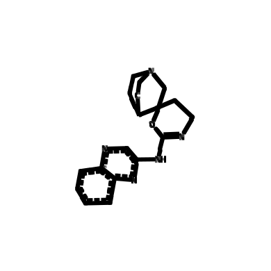 c1ccc2nc(NC3=NCCC4(CN5CCC4CC5)O3)cnc2c1